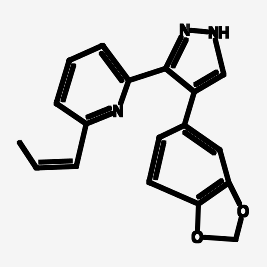 C/C=C\c1cccc(-c2n[nH]cc2-c2ccc3c(c2)OCO3)n1